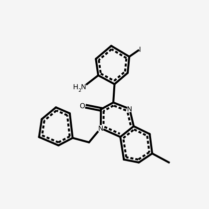 Cc1ccc2c(c1)nc(-c1cc(I)ccc1N)c(=O)n2Cc1ccccc1